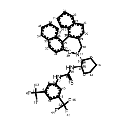 FC(F)(F)c1cc(NC(=S)N[C@@H]2CCCC[C@H]2N2Cc3ccc4ccccc4c3-c3c(ccc4ccccc34)C2)cc(C(F)(F)F)c1